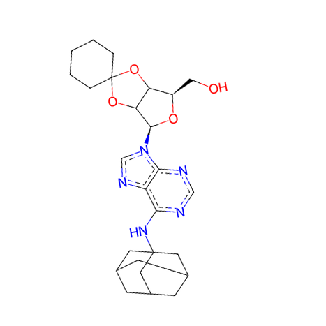 OC[C@H]1O[C@@H](n2cnc3c(NC45CC6CC(CC(C6)C4)C5)ncnc32)C2OC3(CCCCC3)OC21